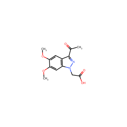 COc1cc2c(C(C)=O)nn(CC(=O)O)c2cc1OC